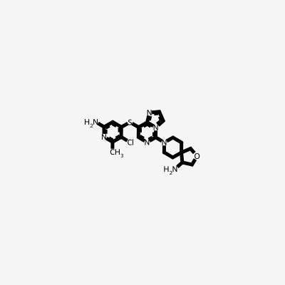 Cc1nc(N)cc(Sc2cnc(N3CCC4(CC3)COCC4N)n3ccnc23)c1Cl